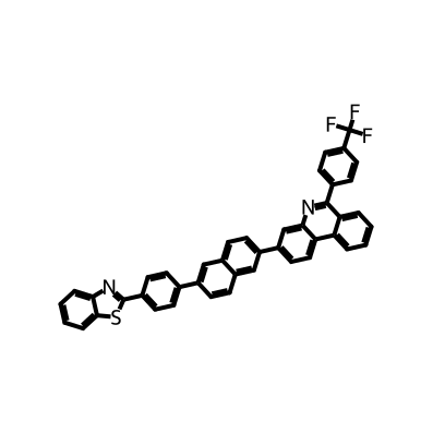 FC(F)(F)c1ccc(-c2nc3cc(-c4ccc5cc(-c6ccc(-c7nc8ccccc8s7)cc6)ccc5c4)ccc3c3ccccc23)cc1